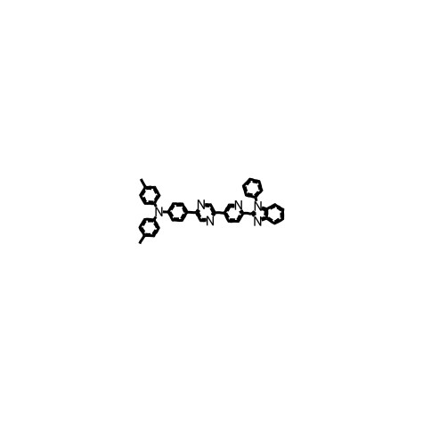 Cc1ccc(N(c2ccc(C)cc2)c2ccc(-c3cnc(-c4ccc(-c5nc6ccccc6n5-c5ccccc5)nc4)cn3)cc2)cc1